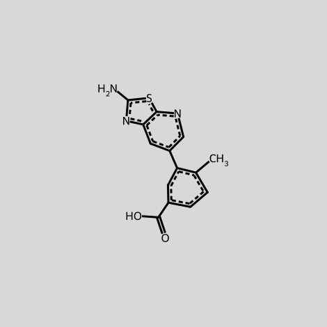 Cc1ccc(C(=O)O)cc1-c1cnc2sc(N)nc2c1